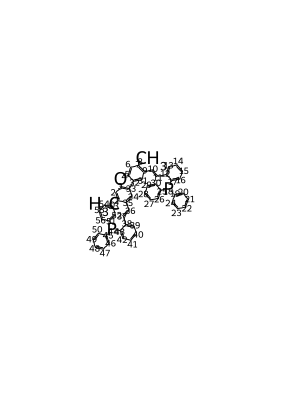 Cc1cc2oc3cc(C)c(/C=C/c4ccccc4P(c4ccccc4)c4ccccc4)cc3c2cc1/C=C/c1ccccc1P(c1ccccc1)c1ccccc1